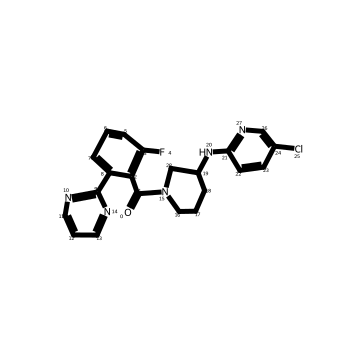 O=C(c1c(F)cccc1-c1ncccn1)N1CCCC(Nc2ccc(Cl)cn2)C1